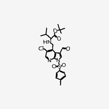 Cc1ccc(S(=O)(=O)n2cc(C=O)c3c(CNC(C(=O)OC(C)(C)C)C(C)C)c(Cl)cnc32)cc1